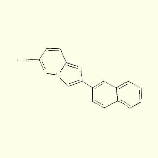 Nc1ccc2nc(-c3ccc4ccccc4c3)cn2n1